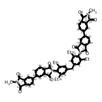 CCc1cc(Cc2cc(CC)c(N3C(=O)c4ccc(-c5ccc6c(c5)C(=O)N(C)C6=O)cc4C3=O)c(CC)c2)cc(CC)c1N1C(=O)c2ccc(-c3ccc4c(c3)C(=O)N(C)C4=O)cc2C1=O